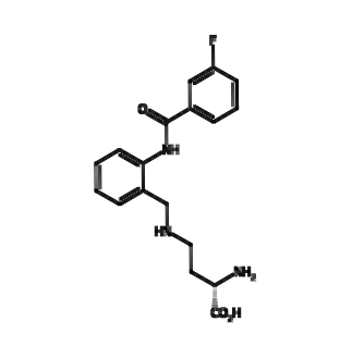 N[C@@H](CCNCc1ccccc1NC(=O)c1cccc(F)c1)C(=O)O